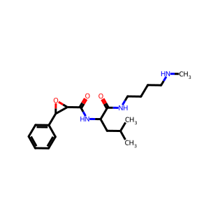 CNCCCCNC(=O)C(CC(C)C)NC(=O)C1OC1c1ccccc1